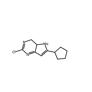 ClC1=NCC2NC(C3CCCC3)=CC2=N1